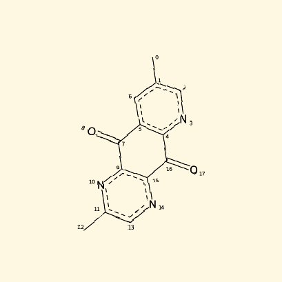 Cc1cnc2c(c1)C(=O)c1nc(C)cnc1C2=O